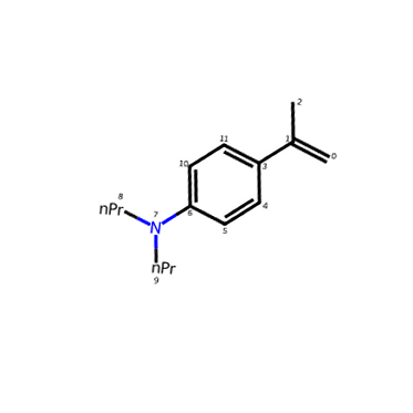 C=C(C)c1ccc(N(CCC)CCC)cc1